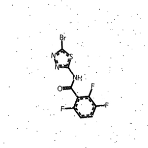 O=C(Nc1nnc(Br)s1)c1c(F)ccc(F)c1F